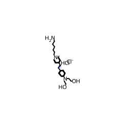 Cl.NCCCCCC[n+]1ccc(/C=C/c2ccc(N(CCO)CCO)cc2)cc1.[Cl-]